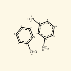 O=Cc1ccccc1.O=[N+]([O-])c1cccc([N+](=O)[O-])c1